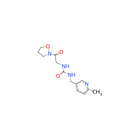 Cc1ccc(CNC(=O)NCC(=O)N2CCCO2)cn1